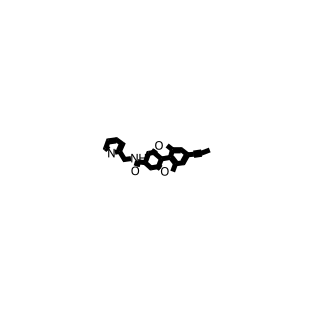 CC#Cc1cc(C)c(C2C(=O)CC(C(=O)NCc3ccccn3)CC2=O)c(C)c1